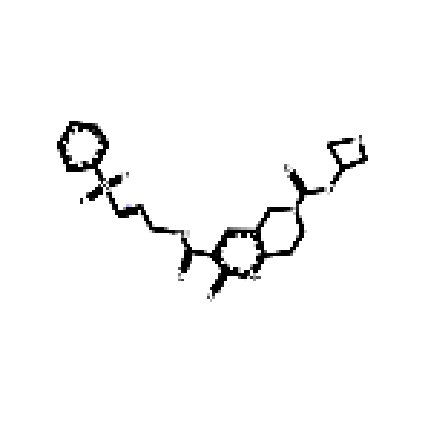 O=C(NC/C=C/S(=O)(=O)c1ccccc1)c1cc2c([nH]c1=O)CCN(C(=O)OC1COC1)C2